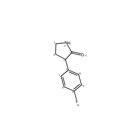 O=C1NCCC1c1ccc(F)cc1